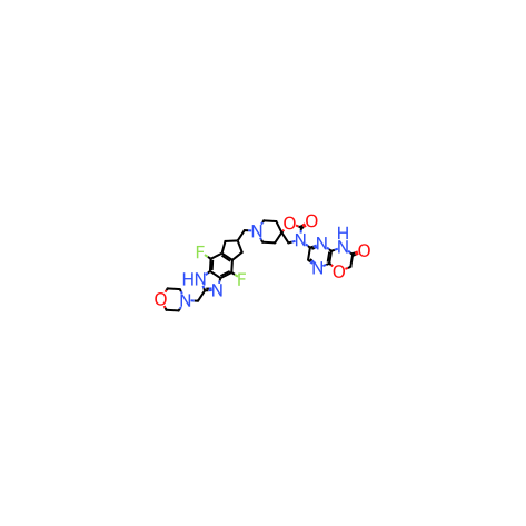 O=C1COc2ncc(N3CC4(CCN(CC5Cc6c(c(F)c7[nH]c(CN8CCOCC8)nc7c6F)C5)CC4)OC3=O)nc2N1